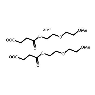 COCCOCCOC(=O)CCC(=O)[O-].COCCOCCOC(=O)CCC(=O)[O-].[Zn+2]